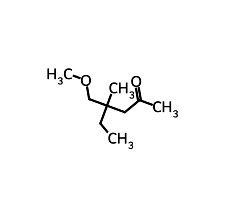 CCC(C)(COC)CC(C)=O